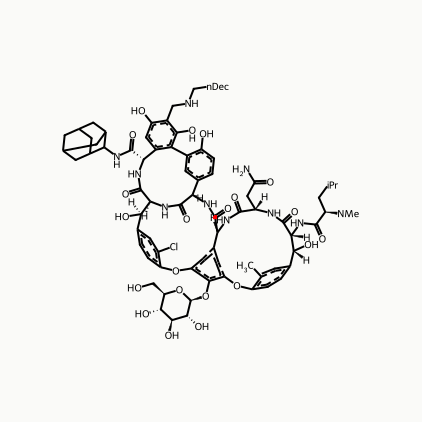 CCCCCCCCCCCNCc1c(O)cc2c(c1O)-c1cc(ccc1O)[C@H]1NC(=O)[C@@H]3NC(=O)[C@H](CC(N)=O)NC(=O)[C@H](NC(=O)[C@@H](CC(C)C)NC)[C@H](O)c4ccc(c(C)c4)Oc4cc3cc(c4O[C@@H]3O[C@H](CO)[C@@H](O)[C@H](O)[C@H]3O)Oc3ccc(cc3Cl)[C@@H](O)[C@H](NC1=O)C(=O)N[C@@H]2C(=O)NC1C2CC3CC(C2)CC1C3